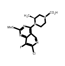 CSc1nc(N2CCN(C(=O)O)C[C@@H]2C)c2cnc(Cl)c(F)c2n1